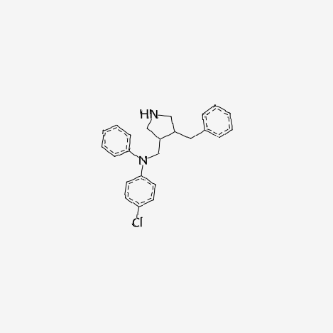 Clc1ccc(N(CC2CNCC2Cc2ccccc2)c2ccccc2)cc1